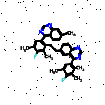 Cc1ccc2c(-c3cc(C)c(F)c(C)c3CCc3ccc4ncnc(-c5cc(C)c(F)c(C)c5C)c4c3)ncnc2c1